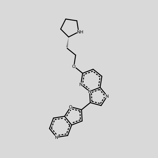 c1cc2oc(-c3cnc4ccc(OCC[C@@H]5CCCN5)nn34)cc2cn1